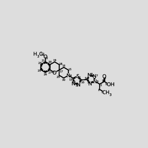 CCC(C(=O)O)n1nnc(-c2nnc(N3CCC4(CCc5c(OC)cccc5O4)CC3)s2)n1